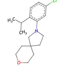 CC(C)c1ccc(Cl)cc1N1CCC2(CCOCC2)C1